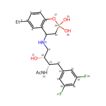 CCc1ccc2c(c1)C(NC[C@@H](O)[C@H](Cc1cc(F)cc(F)c1)NC(C)=O)CS(O)(O)O2